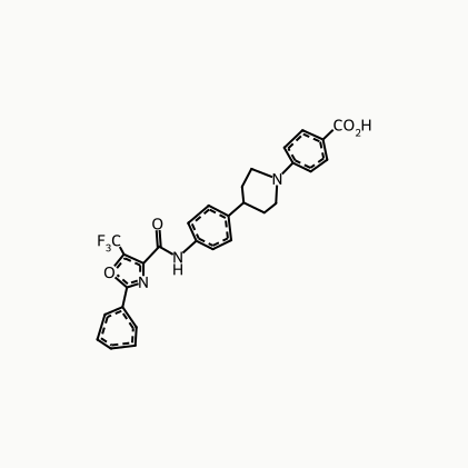 O=C(O)c1ccc(N2CCC(c3ccc(NC(=O)c4nc(-c5ccccc5)oc4C(F)(F)F)cc3)CC2)cc1